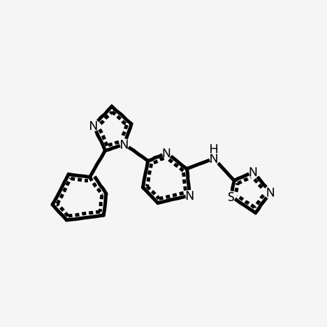 c1ccc(-c2nccn2-c2ccnc(Nc3nncs3)n2)cc1